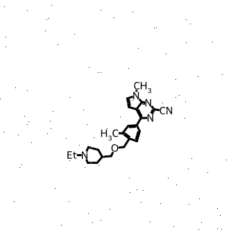 CCN1CCC(COCc2ccc(-c3nc(C#N)nc4c3ccn4C)cc2C)CC1